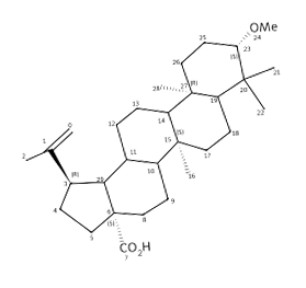 C=C(C)[C@@H]1CC[C@]2(C(=O)O)CCC3C(CCC4[C@@]3(C)CCC3C(C)(C)[C@@H](OC)CC[C@@]34C)C12